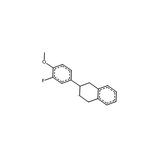 COc1ccc(C2[CH]Cc3ccccc3C2)cc1F